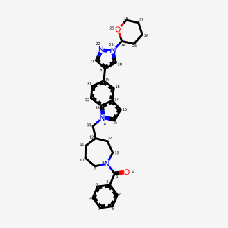 O=C(c1ccccc1)N1CCCC(Cn2ccc3cc(-c4cnn(C5CCCCO5)c4)ccc32)CC1